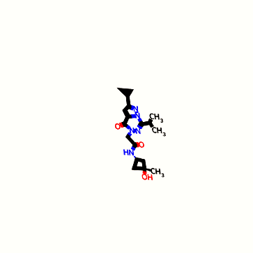 CC(C)c1nn(CC(=O)N[C@H]2C[C@@](C)(O)C2)c(=O)c2cc(C3CC3)nn12